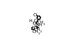 CC(C)(C(=O)NC1(CN2CCC2(C)C)CC1)c1cccc(Cl)c1